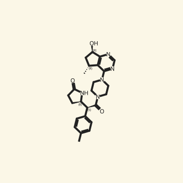 Cc1ccc([C@H](C(=O)N2CCN(c3ncnc4c3[C@H](C)C[C@H]4O)CC2)[C@H]2CCC(=O)N2)cc1